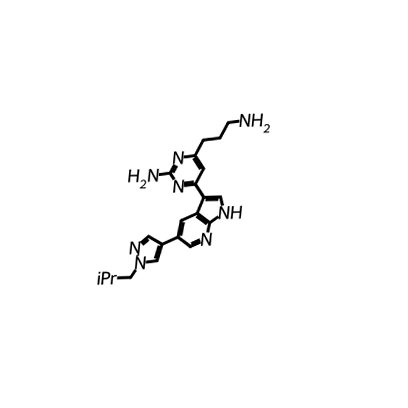 CC(C)Cn1cc(-c2cnc3[nH]cc(-c4cc(CCCN)nc(N)n4)c3c2)cn1